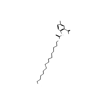 CCCCCCCCCCCCCCCCOC(=O)Nc1ccc(C)cc1C(=O)O